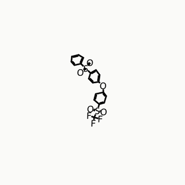 O=S(=O)(c1ccccc1)c1ccc(Oc2ccc(S(=O)(=O)C(F)(F)F)cc2)cc1